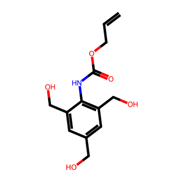 C=CCOC(=O)Nc1c(CO)cc(CO)cc1CO